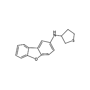 c1ccc2c(c1)oc1ccc(NC3CCSC3)cc12